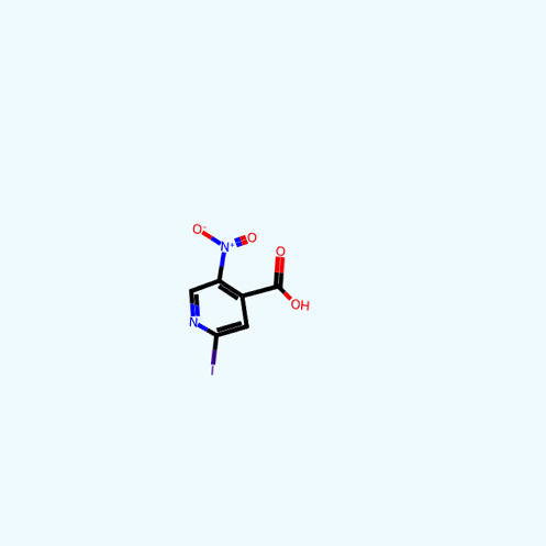 O=C(O)c1cc(I)ncc1[N+](=O)[O-]